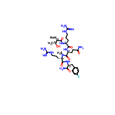 CN[C@H](C(=O)N[C@@H](CCCNC(=N)N)C(=O)N[C@@H](CCC(N)=O)C(=O)N(C)[C@@H](CCCNC(=N)N)C(=O)N[C@@H](Cc1ccc(F)cc1)C(N)=O)[C@@H](C)O